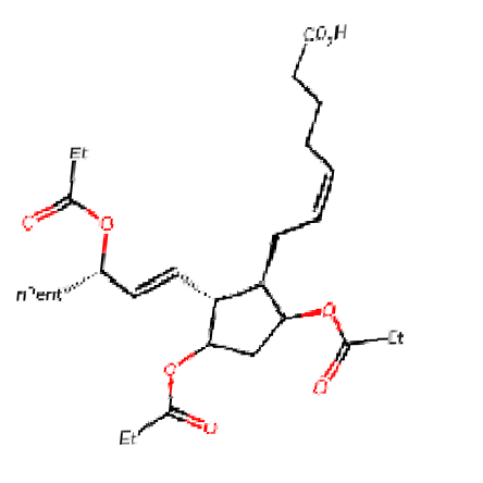 CCCCC[C@@H](/C=C/[C@H]1C(OC(=O)CC)C[C@H](OC(=O)CC)[C@@H]1C/C=C\CCCC(=O)O)OC(=O)CC